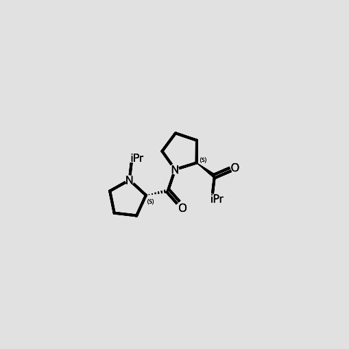 CC(C)C(=O)[C@@H]1CCCN1C(=O)[C@@H]1CCCN1C(C)C